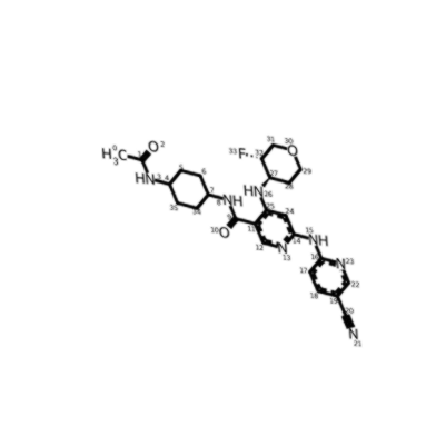 CC(=O)NC1CCC(NC(=O)c2cnc(Nc3ccc(C#N)cn3)cc2N[C@@H]2CCOC[C@H]2F)CC1